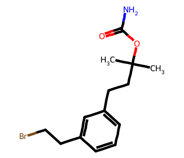 CC(C)(CCc1cccc(CCBr)c1)OC(N)=O